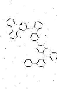 c1ccc(-c2cccc(N3c4ccccc4Oc4cc(-c5ccc6c(c5)c5ccccc5n6-c5ccc6c7ccccc7c7ccccc7c6c5)ccc43)c2)cc1